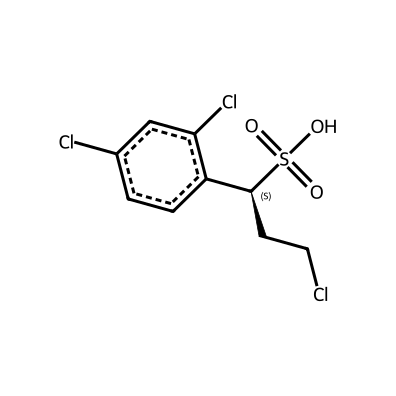 O=S(=O)(O)[C@@H](CCCl)c1ccc(Cl)cc1Cl